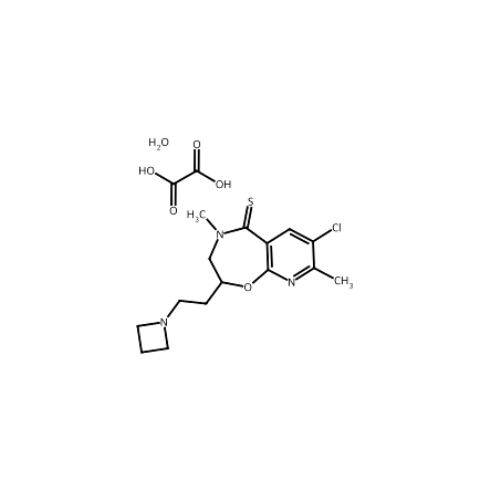 Cc1nc2c(cc1Cl)C(=S)N(C)CC(CCN1CCC1)O2.O.O=C(O)C(=O)O